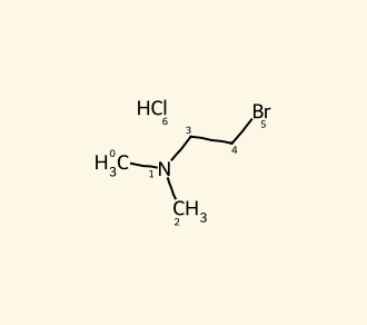 CN(C)CCBr.Cl